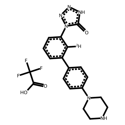 O=C(O)C(F)(F)F.[2H]c1c(-c2ccc(N3CCNCC3)cc2)cccc1-n1nn[nH]c1=O